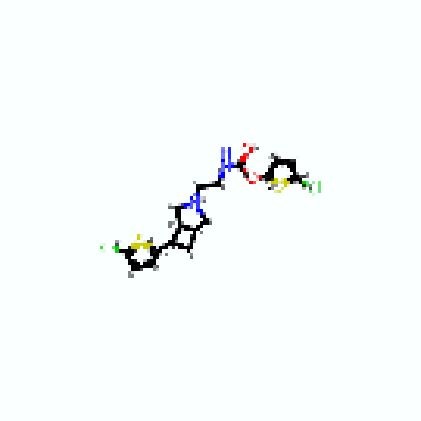 O=C(NCCN1CC2CC(c3ccc(Cl)s3)C2C1)Oc1ccc(Cl)s1